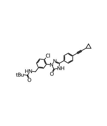 CC(C)(C)C(=O)NCc1ccc(Cl)c(-n2nc(-c3ccc(C#CC4CC4)cc3)[nH]c2=O)c1